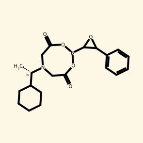 C[C@@H](C1CCCCC1)N1CC(=O)OB(C2OC2c2ccccc2)OC(=O)C1